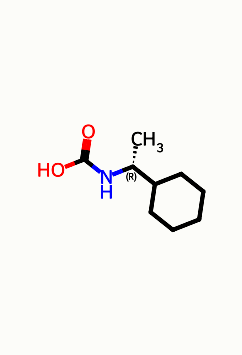 C[C@@H](NC(=O)O)C1CCCCC1